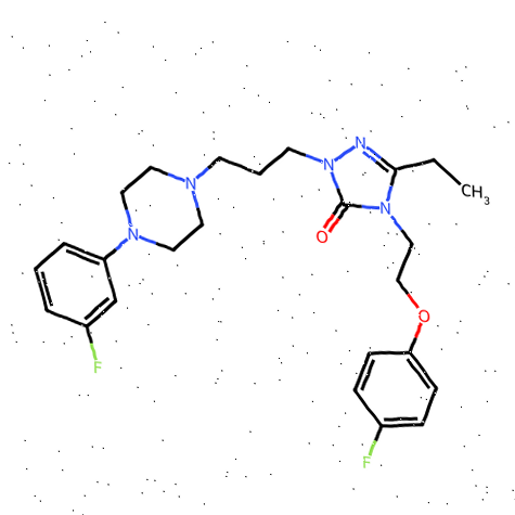 CCc1nn(CCCN2CCN(c3cccc(F)c3)CC2)c(=O)n1CCOc1ccc(F)cc1